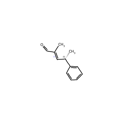 C/C(C=O)=C\[C@H](C)c1ccccc1